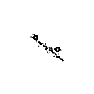 C=C(CCNC(=O)COc1ccc(Cl)c(F)c1)NC(=O)C1CN(S(=O)(=O)CCOCC)c2cc(Cl)ccc2O1